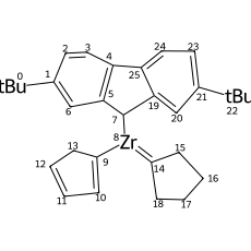 CC(C)(C)c1ccc2c(c1)[CH]([Zr]([C]1=CC=CC1)=[C]1CCCC1)c1cc(C(C)(C)C)ccc1-2